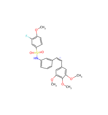 COc1ccc(S(=O)(=O)Nc2cccc(/C=C\c3cc(OC)c(OC)c(OC)c3)c2)cc1F